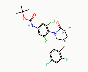 C[C@@H]1C[C@H](Cc2ccc(F)cc2F)CN(c2c(Cl)cc(NC(=O)OC(C)(C)C)cc2Cl)C1=O